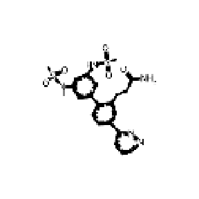 CS(=O)(=O)Nc1cc(NS(C)(=O)=O)cc(-c2ccc(-c3cccnn3)cc2CCC(N)=O)c1